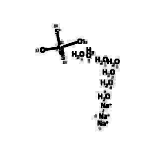 O.O.O.O.O.O.O.[Na+].[Na+].[Na+].[O-][As]([O-])(=S)[S-]